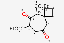 CCOC(=O)C1CC(=O)CC2(CCC2)C(C(=O)OCC)C1=O